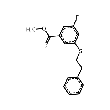 COC(=O)c1cc(F)cc(SCCc2ccccc2)c1